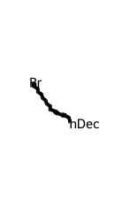 CCCCCCCCCCCCC#CC#CCCCCCCCCCBr